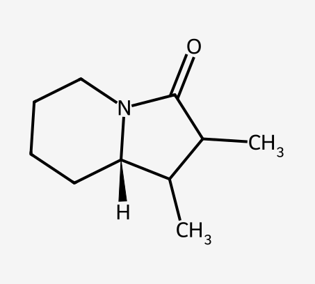 CC1C(=O)N2CCCC[C@H]2C1C